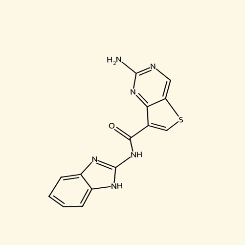 Nc1ncc2scc(C(=O)Nc3nc4ccccc4[nH]3)c2n1